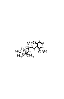 COc1cccc(OC)c1CCC(C)CC(C)(N)C(=O)O